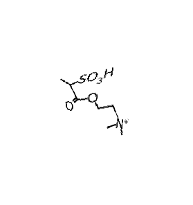 CC(C(=O)OCC[N+](C)(C)C)S(=O)(=O)O